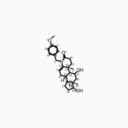 COc1ccc(CN2C(=O)CC[C@@]3(C)C2=CC[C@@H]2C3C(O)C[C@]3(C)[C@@H](O)CC[C@@H]23)cc1